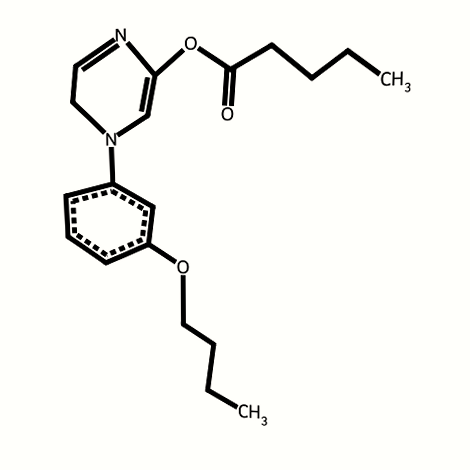 CCCCOc1cccc(N2C=C(OC(=O)CCCC)N=CC2)c1